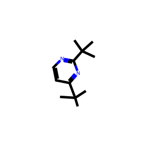 CC(C)(C)c1c[c]nc(C(C)(C)C)n1